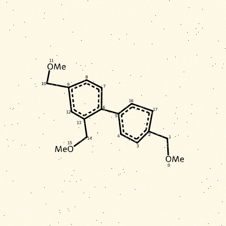 COCc1ccc(-c2ccc(COC)cc2COC)cc1